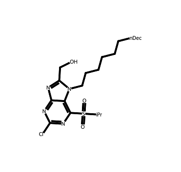 CCCCCCCCCCCCCCCCn1c(CO)nc2nc(Cl)nc(S(=O)(=O)C(C)C)c21